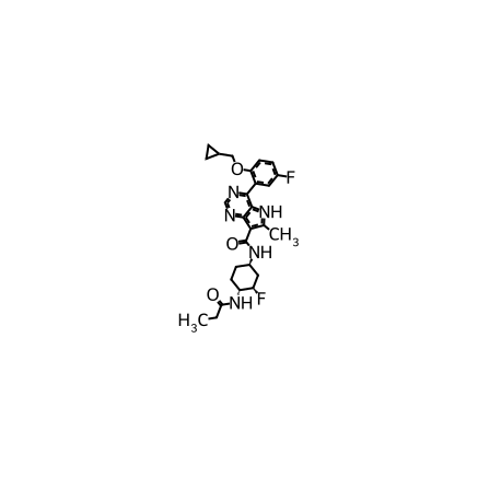 CCC(=O)N[C@@H]1CC[C@@H](NC(=O)c2c(C)[nH]c3c(-c4cc(F)ccc4OCC4CC4)ncnc23)C[C@H]1F